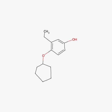 CCc1cc(O)ccc1OC1CCCCC1